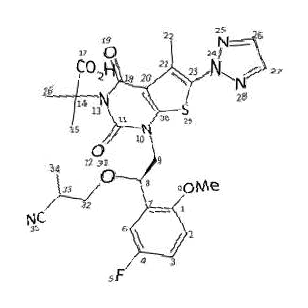 COc1ccc(F)cc1[C@H](Cn1c(=O)n(C(C)(C)C(=O)O)c(=O)c2c(C)c(-n3nccn3)sc21)OCC(C)C#N